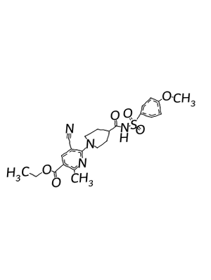 CCOC(=O)c1cc(C#N)c(N2CCC(C(=O)NS(=O)(=O)c3ccc(OC)cc3)CC2)nc1C